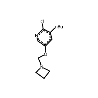 CCCCc1cc(OCN2CCC2)cnc1Cl